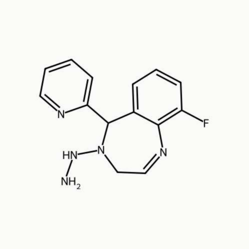 NNN1CC=Nc2c(F)cccc2C1c1ccccn1